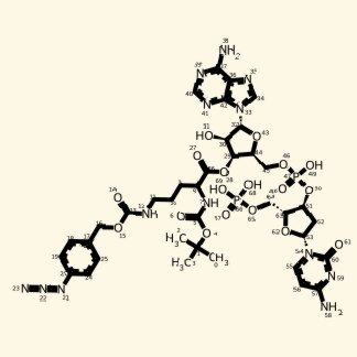 CC(C)(C)OC(=O)NC(CCCNC(=O)OCc1ccc(N=[N+]=[N-])cc1)C(=O)O[C@H]1[C@@H](O)[C@H](n2cnc3c(N)ncnc32)O[C@H]1COP(=O)(O)O[C@H]1C[C@H](n2ccc(N)nc2=O)O[C@@H]1COP(=O)(O)O